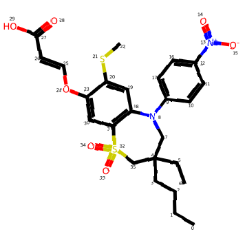 CCCCC1(CC)CN(c2ccc([N+](=O)[O-])cc2)c2cc(SC)c(OC=CC(=O)O)cc2S(=O)(=O)C1